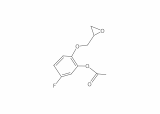 CC(=O)Oc1cc(F)ccc1OCC1CO1